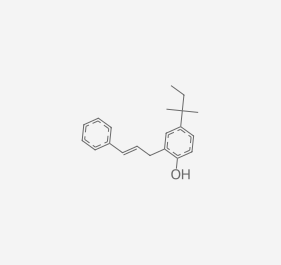 CCC(C)(C)c1ccc(O)c(CC=Cc2ccccc2)c1